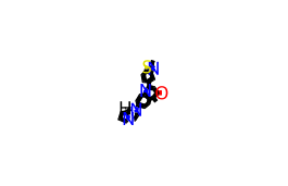 Cc1nc2cc(C3=CC(=O)C(C)C4CC=C(N5CCN6CCC[C@H]6C5)C=CC4=N3)ccc2s1